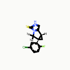 [2H]C1([2H])n2c(c[nH]c2=S)[C@@H]2C[C@@]21c1cc(Cl)ccc1F